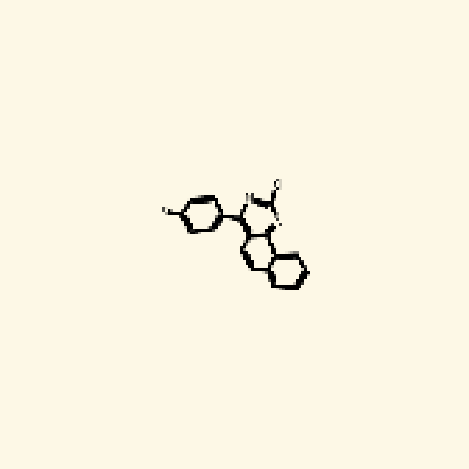 Fc1ccc(-c2nc(Cl)nc3c2ccc2ccccc23)cc1